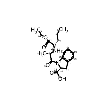 CCC[C@H](N[C@@H](C)C(=O)N1c2ccccc2C[C@H]1C(=O)O)C(=O)OCC